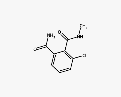 CNC(=O)c1c(Cl)cccc1C(N)=O